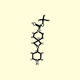 CC(C)(C)OC(=O)N1CCC2(CC1)CN(C1CCNCC1)C2